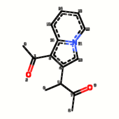 CC(=O)c1c(C(C)C(C)=O)cn2ccccc12